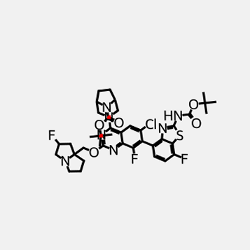 CC(C)(C)OC(=O)Nc1nc2c(-c3c(Cl)cc4c(N5CC6CCC(C5)N6C(=O)OC(C)(C)C)nc(OCC56CCCN5CC(F)C6)nc4c3F)ccc(F)c2s1